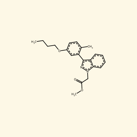 CCCCOc1ccc(C)c(-c2nn(CC(=O)OC)c3ccccc23)c1